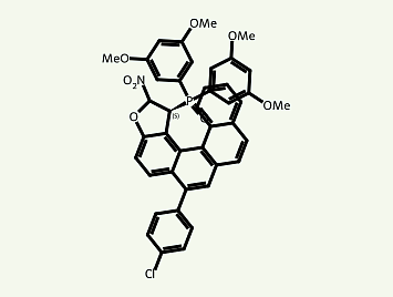 COc1cc(OC)cc(P(=O)(c2cc(OC)cc(OC)c2)[C@H]2c3c(ccc4c(-c5ccc(Cl)cc5)cc5ccc6ccccc6c5c34)OC2[N+](=O)[O-])c1